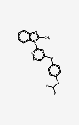 Cc1nc2ccccc2n1-c1nncc(Nc2ccc(OC(F)F)cc2)n1